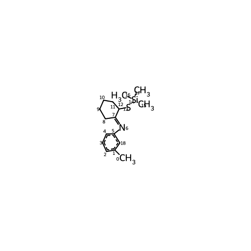 Cc1cccc(/N=C2\CCCCC2S[Si](C)(C)C)c1